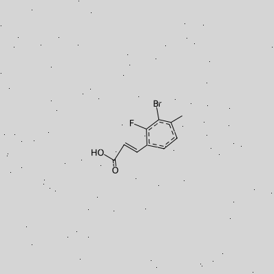 Cc1ccc(C=CC(=O)O)c(F)c1Br